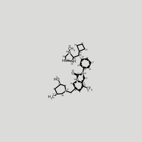 C[C@H]1C[C@@H](O)CN(Cc2cc(C(F)(F)F)c3cn(-c4cccc([C@@H](C5CCC5)C5NNCN5C)c4)c(=O)n3c2)C1